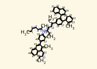 C=C/C=C\C=C(/C)N(/C(C=C)=C/C=C(\C)c1ccc(-c2ccccc2C)c(-c2cccc3ccccc23)c1)c1ccc(-c2cc3ccccc3c(/C=C\C=C)c2C)cc1